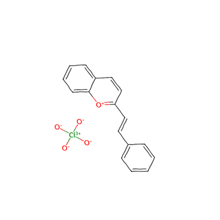 C(=Cc1ccc2ccccc2[o+]1)c1ccccc1.[O-][Cl+3]([O-])([O-])[O-]